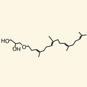 CC(C)=CCCC(C)=CCCC(C)=CCCC(C)=CCCOCC(O)CO